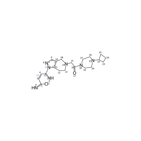 N=C(Cl)/C=C\C(=N)n1ncc2c1CCN(CC(=O)N1CCN(C3CCC3)CC1)C2